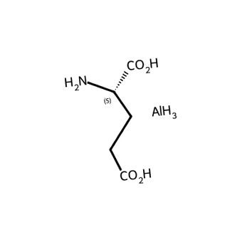 N[C@@H](CCC(=O)O)C(=O)O.[AlH3]